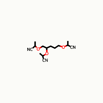 CC(C#N)OCCCC(COC(C)C#N)OC(C)C#N